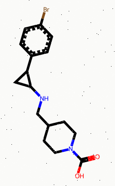 O=C(O)N1CCC(CNC2CC2c2ccc(Br)cc2)CC1